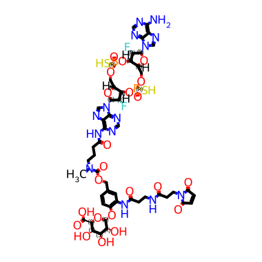 CN(CCCC(=O)Nc1ncnc2c1ncn2[C@@H]1O[C@@H]2CO[P@@](=O)(S)O[C@H]3[C@@H](F)[C@H](n4cnc5c(N)ncnc54)O[C@@H]3CO[P@@](=O)(S)O[C@H]2[C@H]1F)C(=O)OCc1ccc(O[C@@H]2O[C@H](C(=O)O)[C@@H](O)[C@H](O)[C@H]2O)c(NC(=O)CCNC(=O)CCN2C(=O)C=CC2=O)c1